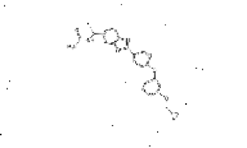 CC(NC(N)=O)c1ccc2nc(-c3ccc(Oc4cccc(OCC5CC5)c4)nc3)oc2c1